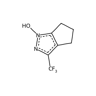 On1nc(C(F)(F)F)c2c1CCC2